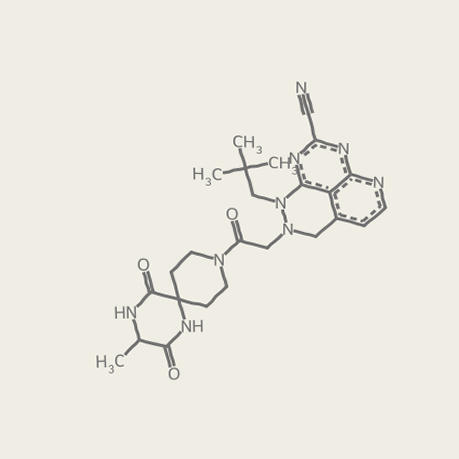 CC1NC(=O)C2(CCN(C(=O)CN3Cc4ccnc5nc(C#N)nc(c45)N3CC(C)(C)C)CC2)NC1=O